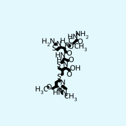 COCC1=CC(SCC2=C(C(=O)O)N3C(=O)C(NC(=O)/C(=N\OC(C)(C)C(=O)NN)c4csc(N)n4)[C@H]3SC2)=NC2=CN(C)NN12